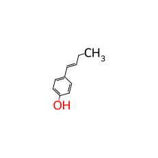 CCC=Cc1ccc(O)cc1